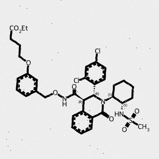 CCOC(=O)CCCOc1cccc(CONC(=O)[C@@H]2c3ccccc3C(=O)N([C@H]3CCCC[C@@H]3NS(C)(=O)=O)[C@H]2c2ccc(Cl)cc2Cl)c1